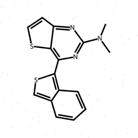 CN(C)c1nc(-c2scc3ccccc23)c2sccc2n1